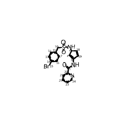 O=C(NC1=CC(NS(=O)(=O)Cc2ccc(Br)cc2)C=C1)c1ccccn1